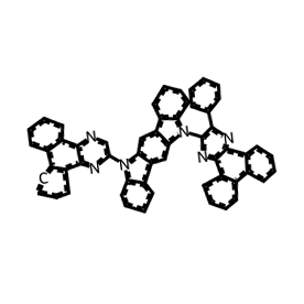 c1ccc(-c2nc3c4ccccc4c4ccccc4c3nc2-n2c3ccccc3c3cc4c(cc32)c2ccccc2n4-c2cnc3c4ccccc4c4ccccc4c3n2)cc1